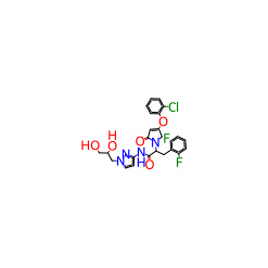 O=C(Nc1ccn(CC(O)CO)n1)C(Cc1c(F)cccc1F)N1CC(Oc2ccccc2Cl)=CC1=O